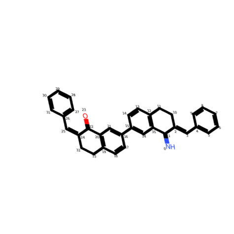 N=C1/C(=C/c2ccccc2)CCc2ccc(-c3ccc4c(c3)C(=O)/C(=C\c3ccccc3)CC4)cc21